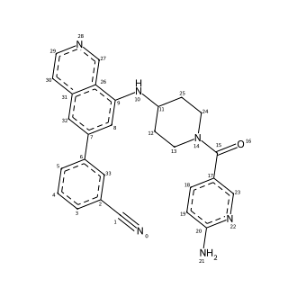 N#Cc1cccc(-c2cc(NC3CCN(C(=O)c4ccc(N)nc4)CC3)c3cnccc3c2)c1